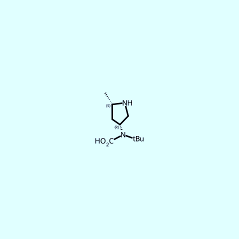 C[C@H]1C[C@@H](N(C(=O)O)C(C)(C)C)CN1